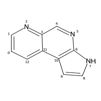 c1cnc2cnc3[nH]ccc3c2c1